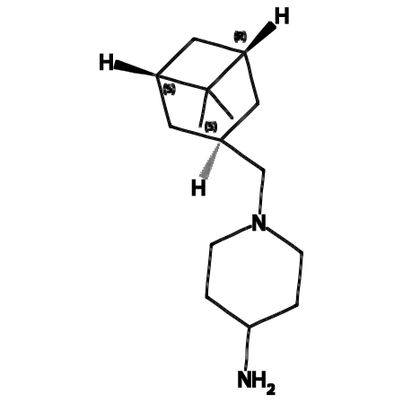 CC1(C)[C@@H]2C[C@H](CN3CCC(N)CC3)C[C@H]1C2